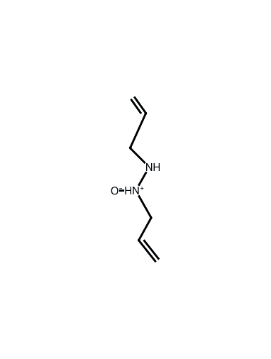 C=CCN[NH+]([O-])CC=C